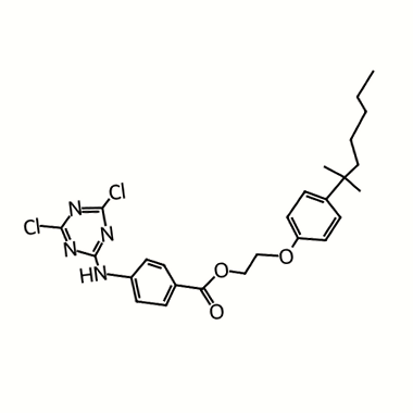 CCCCCC(C)(C)c1ccc(OCCOC(=O)c2ccc(Nc3nc(Cl)nc(Cl)n3)cc2)cc1